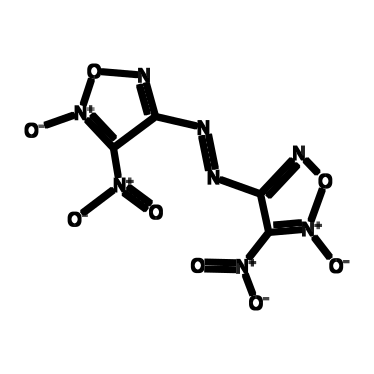 O=[N+]([O-])c1c(N=Nc2no[n+]([O-])c2[N+](=O)[O-])no[n+]1[O-]